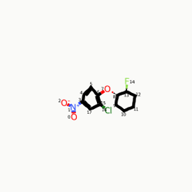 O=[N+]([O-])c1ccc(O[C@H]2CCCC[C@@H]2F)c(Cl)c1